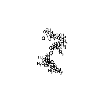 CC[C@H](C)[C@H](NC(=O)[C@H]1CCCC[N+]1(C)Cc1ccc(NC(=O)[C@H](C)NC(=O)[C@@H](NC(=O)[C@H](CNC(=O)OC(C)(C)C)N2C(=O)C=CC2=O)C(C)C)cc1)C(=O)N(C)[C@H](C[C@@H](OC(C)=O)c1nc(C(=O)N[C@@H](Cc2ccccc2)C[C@H](C)C(=O)O)cs1)C(C)C